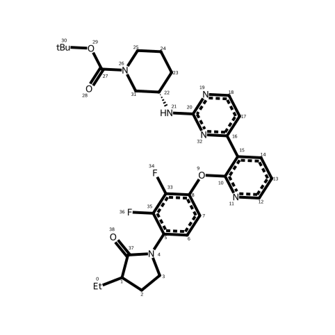 CCC1CCN(c2ccc(Oc3ncccc3-c3ccnc(N[C@H]4CCCN(C(=O)OC(C)(C)C)C4)n3)c(F)c2F)C1=O